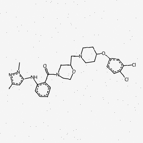 Cc1cc(Nc2ccccc2C(=O)N2CCOC(CN3CCC(Oc4ccc(Cl)c(Cl)c4)CC3)C2)n(C)n1